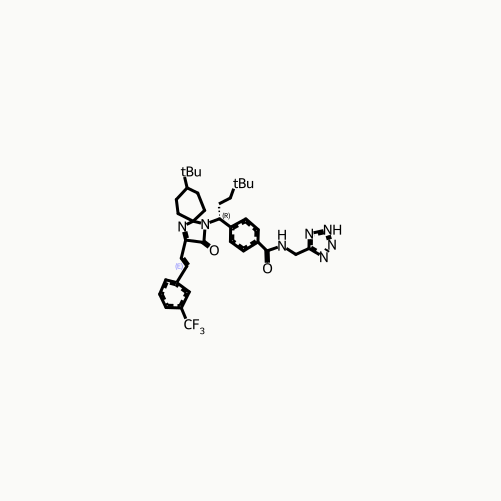 CC(C)(C)CC[C@H](c1ccc(C(=O)NCc2nn[nH]n2)cc1)N1C(=O)C(/C=C/c2cccc(C(F)(F)F)c2)=NC12CCC(C(C)(C)C)CC2